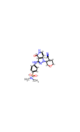 CN(C)S(=O)(=O)c1ccc(Nc2nn(C3COCCC3C#N)c3cc[nH]c(=O)c23)cc1